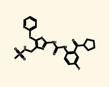 CS(=O)(=O)NCc1nc(NC(=O)Nc2ccc(F)cc2C(=O)C2CCCC2)sc1Sc1ccccn1